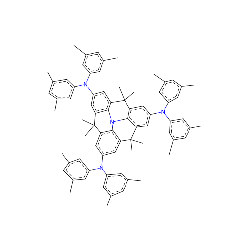 Cc1cc(C)cc(N(c2cc(C)cc(C)c2)c2cc3c4c(c2)C(C)(C)c2cc(N(c5cc(C)cc(C)c5)c5cc(C)cc(C)c5)cc5c2N4c2c(cc(N(c4cc(C)cc(C)c4)c4cc(C)cc(C)c4)cc2C5(C)C)C3(C)C)c1